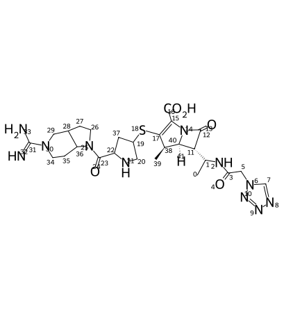 CC(NC(=O)Cn1cnnn1)[C@H]1C(=O)N2C(C(=O)O)=C(SC3CNC(C(=O)N4CCC5CN(C(=N)N)CCC54)C3)[C@H](C)[C@H]12